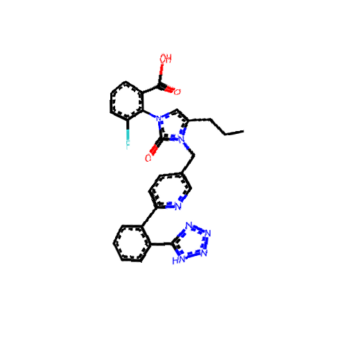 CCCc1cn(-c2c(F)cccc2C(=O)O)c(=O)n1Cc1ccc(-c2ccccc2-c2nnn[nH]2)nc1